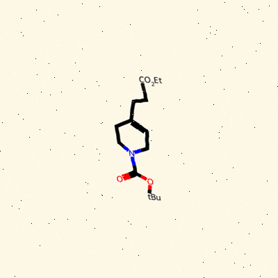 CCOC(=O)CCC1=CCN(C(=O)OC(C)(C)C)CC1